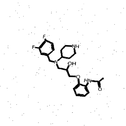 CC(=O)Nc1ccccc1OCC(O)CN(Cc1ccc(F)c(F)c1)C1CCNCC1